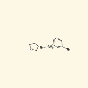 C1CCOC1.[Br][Mg][c]1cccc(Br)c1